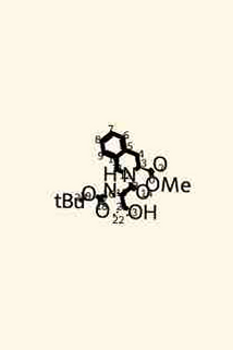 COC(=O)[C@@H]1Cc2ccccc2CN1C(=O)[C@@H](NC(=O)OC(C)(C)C)[C@@H](C)O